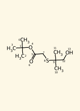 CC(C)(C)OC(=O)CSC(C)(C)CO